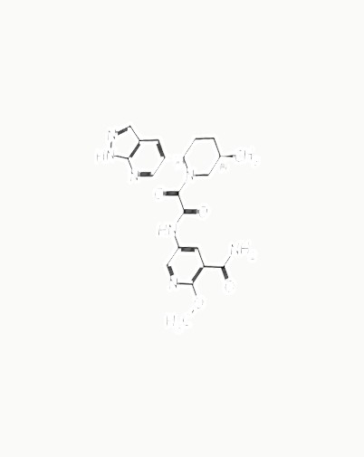 COc1ncc(NC(=O)C(=O)N2C[C@H](C)CC[C@H]2c2cnc3[nH]ncc3c2)cc1C(N)=O